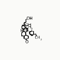 CSc1ccc([C@H]2C[C@@]3(C)[C@@H](CC[C@@]3(O)CCCO)[C@@H]3CCC4=CC(=O)CCC4=C32)cc1